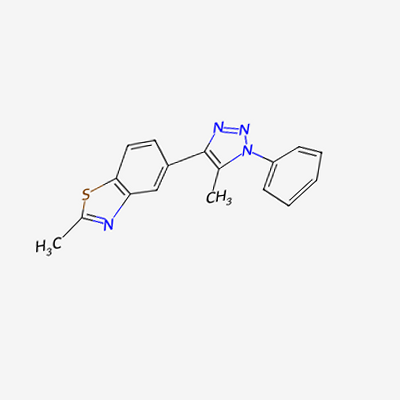 Cc1nc2cc(-c3nnn(-c4ccccc4)c3C)ccc2s1